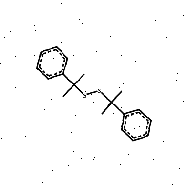 CC(C)(SSC(C)(C)c1ccccc1)c1ccccc1